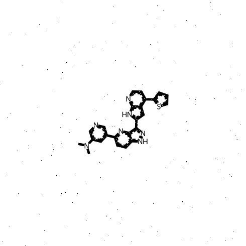 CN(C)c1cncc(-c2ccc3[nH]nc(-c4cc5c(-c6cccs6)ccnc5[nH]4)c3n2)c1